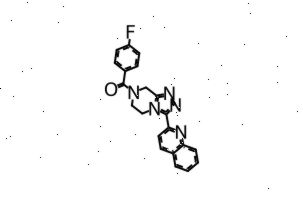 O=C(c1ccc(F)cc1)N1CCn2c(nnc2-c2ccc3ccccc3n2)C1